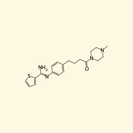 CN1CCN(C(=O)CCCc2ccc(N=C(N)c3cccs3)cc2)CC1